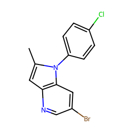 Cc1cc2ncc(Br)cc2n1-c1ccc(Cl)cc1